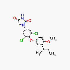 CCC(C)c1cc(Oc2c(Cl)cc(N3CC(=O)NC3=O)cc2Cl)ccc1OC